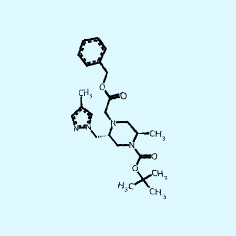 Cc1cnn(C[C@H]2CN(C(=O)OC(C)(C)C)[C@H](C)CN2CC(=O)OCc2ccccc2)c1